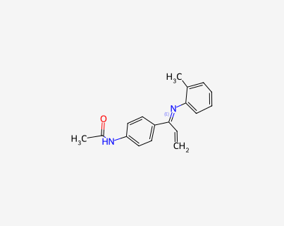 C=C/C(=N\c1ccccc1C)c1ccc(NC(C)=O)cc1